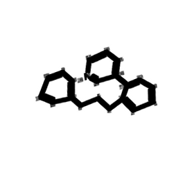 [c]1ccc(CCCc2ccccc2)c(-c2cccnc2)c1